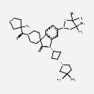 CC1(C)CCN([C@H]2C[C@@H](N3C(=O)C4(CCN(C(=O)C5(C)CCOC5)CC4)c4ccc(B5OC(C)(C)C(C)(C)O5)cc43)C2)C1